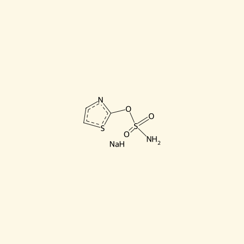 NS(=O)(=O)Oc1nccs1.[NaH]